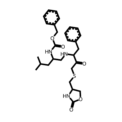 CC(C)CC(CNC(Cc1ccccc1)C(=O)CSCC1COC(=O)N1)NC(=O)OCc1ccccc1